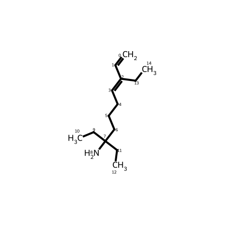 C=C/C(=C/CCCC(N)(CC)CC)CC